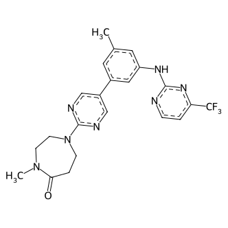 Cc1cc(Nc2nccc(C(F)(F)F)n2)cc(-c2cnc(N3CCC(=O)N(C)CC3)nc2)c1